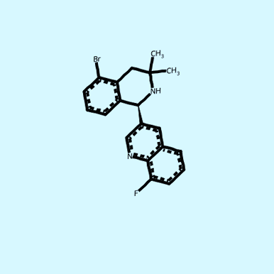 CC1(C)Cc2c(Br)cccc2[C@H](c2cnc3c(F)cccc3c2)N1